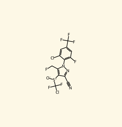 N#Cc1nn(-c2c(F)cc(C(F)(F)F)cc2Cl)c(CF)c1[S+]([O-])C(F)(F)Cl